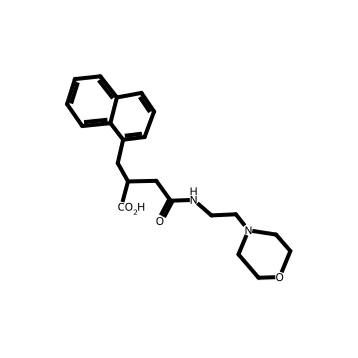 O=C(CC(Cc1cccc2ccccc12)C(=O)O)NCCN1CCOCC1